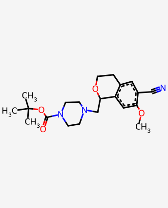 COc1cc2c(cc1C#N)CCOC2CN1CCN(C(=O)OC(C)(C)C)CC1